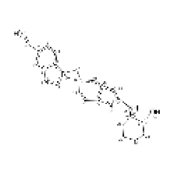 C=Cc1ccc2c(c1)ncn2Cc1ccc2nc(N[C@@H]3CCCC[C@H]3O)sc2c1